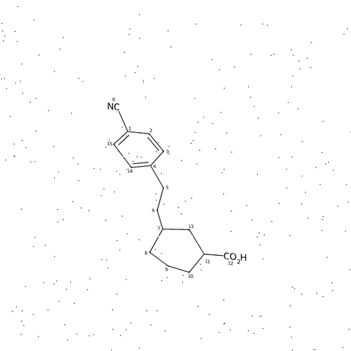 N#Cc1ccc(CCC2CCCC(C(=O)O)C2)cc1